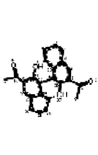 CC(=O)c1cc2ccccc2c(-c2c(O)c(C(C)=O)cc3ccccc23)c1O